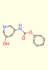 O=C(Nc1cncc(O)c1)Oc1ccccc1